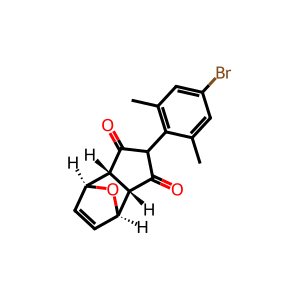 Cc1cc(Br)cc(C)c1C1C(=O)[C@@H]2[C@H](C1=O)[C@H]1C=C[C@@H]2O1